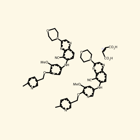 COc1cc(Nc2ccc3ncc(N4CCOCC4)nc3c2C#N)cnc1OCc1ccc(C)nc1.COc1cc(Nc2ccc3ncc(N4CCOCC4)nc3c2C#N)cnc1OCc1ccc(C)nc1.O=C(O)/C=C\C(=O)O